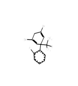 Fc1ccccc1C1(C(F)(C(F)(F)F)C(F)(F)F)C=C(Br)[CH]C(Br)=C1